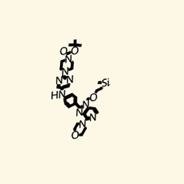 CC(C)(C)OC(=O)N1CCN(c2ncc(Nc3ccc(-c4nc5c(N6CCOCC6)nccc5n4COCC[Si](C)(C)C)cc3)cn2)CC1